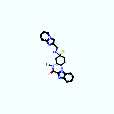 CCN(C(=O)c1nc2ccccc2[nH]1)[C@H]1CCCC(S)(NCc2cn3ccccc3n2)C1